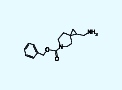 NCC1CC12CCN(C(=O)OCc1ccccc1)CC2